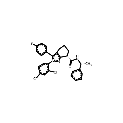 C[C@@H](NC(=O)[C@H]1CCCc2c1nn(-c1ccc(Cl)cc1Cl)c2-c1ccc(F)cc1)c1ccccc1